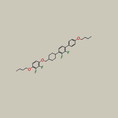 CCCCOc1ccc(-c2ccc(C3CCC(COc4ccc(OCCCC)c(F)c4F)CC3)c(F)c2F)cc1